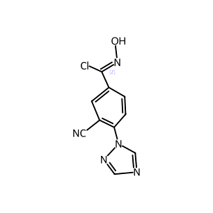 N#Cc1cc(/C(Cl)=N/O)ccc1-n1cncn1